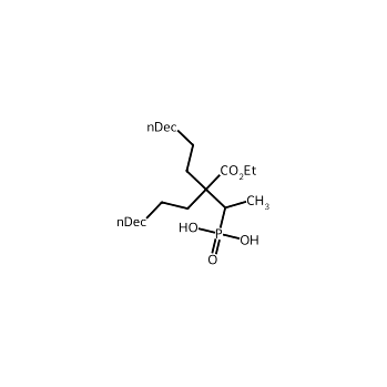 CCCCCCCCCCCCC(CCCCCCCCCCCC)(C(=O)OCC)C(C)P(=O)(O)O